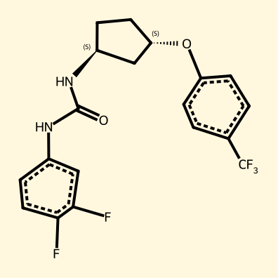 O=C(Nc1ccc(F)c(F)c1)N[C@H]1CC[C@H](Oc2ccc(C(F)(F)F)cc2)C1